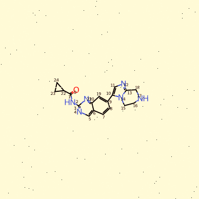 O=C(Nc1ncc2ccc(-c3cnc4n3CCNC4)cc2n1)C1CC1